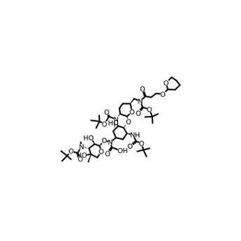 CN(C(=O)OC(C)(C)C)[C@@H]1[C@@H](O)[C@@H](ON(C(=O)O)C2C[C@H](NC(=O)OC(C)(C)C)[C@@H](O[C@H]3O[C@H](CN(C(=O)CCOC4CCCCO4)C(=O)OC(C)(C)C)CC[C@H]3NC(=O)OC(C)(C)C)[C@@H](O)C2)OC[C@]1(C)O